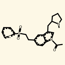 CC(=O)n1cc(CC2CCCN2C)c2cc(CCS(=O)(=O)c3ccccc3)ccc21